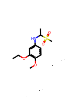 CCOc1cc(NC(C)S(C)(=O)=O)ccc1OC